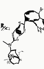 CN(c1nc2sc(-c3ccc(Br)c4cn[nH]c34)nc2s1)C1C[C@]2(C)CC[C@](C)(C1)N2.Cl